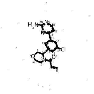 C=CC(=O)N1CCOCC1c1cc(Cl)cc(-c2ccnc(N)n2)c1